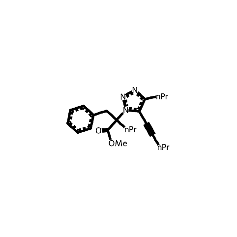 CCCC#Cc1c(CCC)nnn1C(CCC)(Cc1ccccc1)C(=O)OC